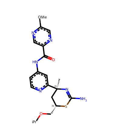 COc1cnc(C(=O)Nc2ccnc([C@]3(C)C[C@@H](COC(C)C)SC(N)=N3)c2)cn1